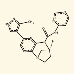 Cc1n[nH]cc1-c1ccc2c(n1)N(C(=O)Nc1ccccn1)[C@H]1CCN2C1